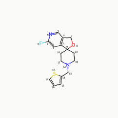 Fc1cc2c(cn1)COC21CCN(Cc2cc[c]s2)CC1